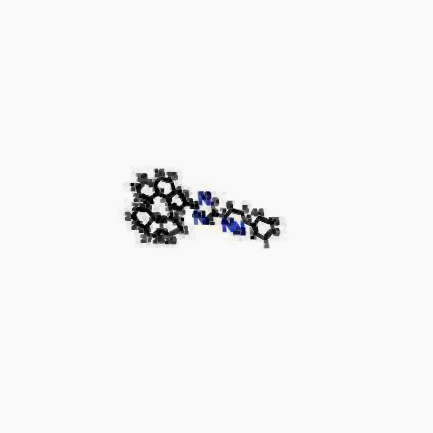 c1ccc(-c2ccc(-c3cnc(-c4cc5ccc6cccc7c8cccc9ccc%10cccc(c(c4)c5c67)c%10c98)nc3)nn2)cc1